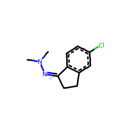 CN(C)/N=C1/CCc2cc(Cl)ccc21